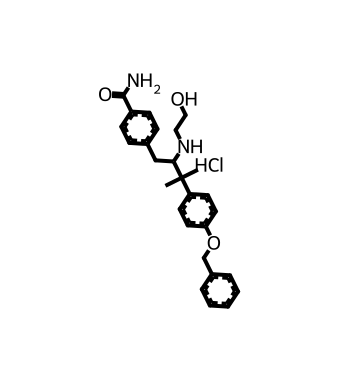 CC(C)(c1ccc(OCc2ccccc2)cc1)C(Cc1ccc(C(N)=O)cc1)NCCO.Cl